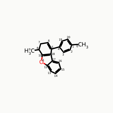 Cc1ccc(C2=CCC(C)c3oc4ccccc4c32)cc1